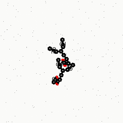 c1ccc(-c2nc3cc(-c4cc(-c5ccc(-c6ccc7c(c6)C6(c8ccccc8Oc8ccccc86)c6ccccc6-7)cc5)cc(-c5ccc6oc(-c7ccccc7-c7ccc8c(c7)-c7ccc(-c9ccc(-c%10cc(-c%11ccc%12nc(-c%13ccccc%13)oc%12c%11)cc(-c%11ccc%12nc(-c%13ccccc%13)oc%12c%11)c%10)cc9)cc7C87c8ccccc8Oc8ccccc87)nc6c5)c4)ccc3o2)cc1